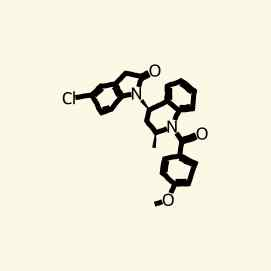 COc1ccc(C(=O)N2c3ccccc3[C@H](N3C(=O)Cc4cc(Cl)ccc43)C[C@@H]2C)cc1